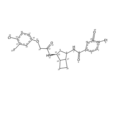 CCn1ccc(C(=O)NC2C[C@H](NC(=O)COc3ccc(Cl)c(F)c3)C3CCC23)cc1=O